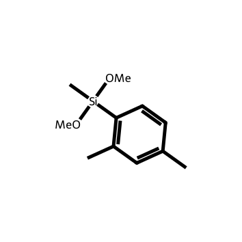 CO[Si](C)(OC)c1ccc(C)cc1C